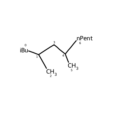 [CH2]CC(C)C(C)CC(C)CCCCC